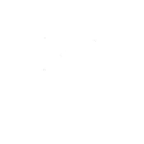 CCN(C1CCC(C(=O)O)CC1)S(=O)(=O)c1cccc(C(=O)Nc2cc(Br)ccc2C(=O)Nc2ccc(CCc3ccc(C(=O)O)cc3)cc2)c1